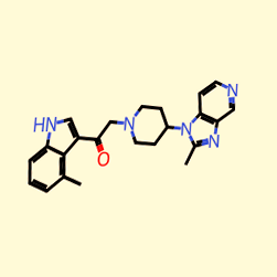 Cc1cccc2[nH]cc(C(=O)CN3CCC(n4c(C)nc5cnccc54)CC3)c12